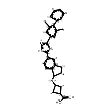 Cc1cc(-c2nc(-c3ccc4c(c3)CCC4NC3CC(C(=O)O)C3)no2)cc(C)c1-c1ccccc1